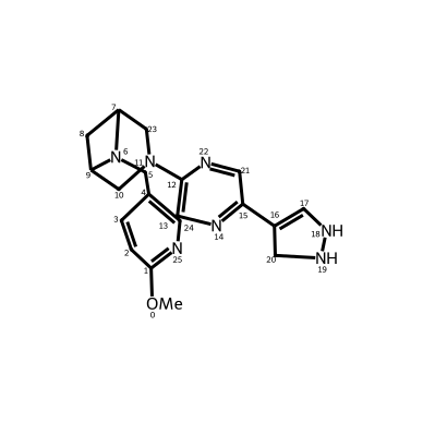 COc1ccc(CN2C3CC2CN(c2cnc(C4=CNNC4)cn2)C3)cn1